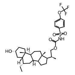 CC[C@H]1C[C@H]2C3CCC([C@H](C)COC(=O)NS(=O)(=O)c4ccc(OC(F)(F)F)cc4)[C@@]3(C)CC[C@@H]2[C@@]2(C)CC[C@@H](O)C[C@@H]12